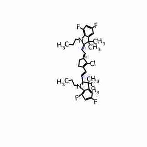 CCCN1/C(=C/C=C2\CCC(/C=C/C3=[N+](CCC)c4c(F)cc(F)cc4C3(C)C)=C2Cl)C(C)(C)c2cc(F)cc(F)c21